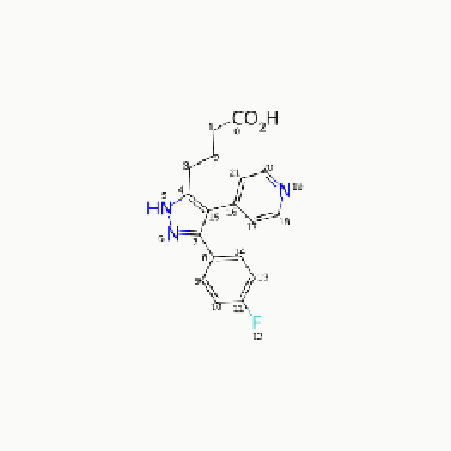 O=C(O)CCCc1[nH]nc(-c2ccc(F)cc2)c1-c1ccncc1